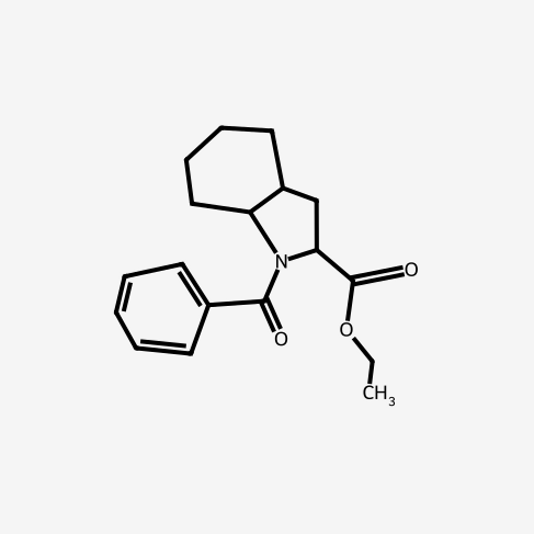 CCOC(=O)C1CC2CCCCC2N1C(=O)c1ccccc1